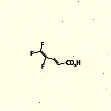 O=C(O)C=CC(F)=C(F)F